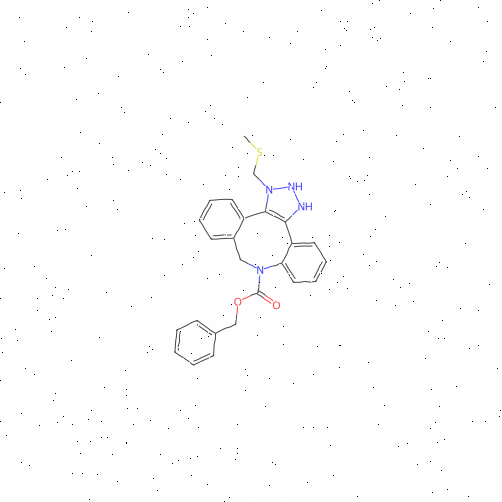 CSCN1NNC2=C1c1ccccc1CN(C(=O)OCc1ccccc1)c1ccccc12